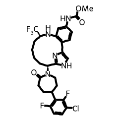 COC(=O)Nc1ccc2c(c1)N[C@H](C(F)(F)F)CCCC[C@H](N1CCC(c3c(F)ccc(Cl)c3F)CCC1=O)c1nc-2c[nH]1